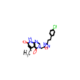 Cc1cc(=O)[nH]c2ncn(Cc3nc(CCc4ccc(Cl)cc4)no3)c(=O)c12